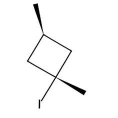 C[C@H]1C[C@](C)(I)C1